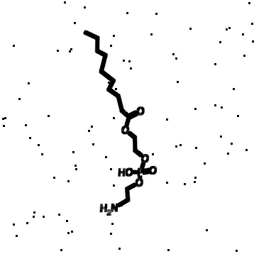 CCCCCCCCCC(=O)OCCOP(=O)(O)OCCN